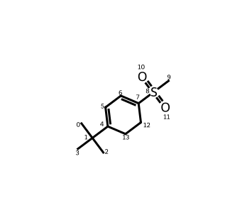 CC(C)(C)C1=CC=C(S(C)(=O)=O)CC1